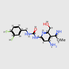 COC(=N)c1c(N)cc(NC(=O)NCc2ccc(F)c(F)c2)nc1CO